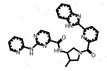 CC1CN(C(=O)c2cccc(-c3nc4ccccc4[nH]3)n2)CC1NC(=O)c1ccnc(Nc2ccccn2)n1